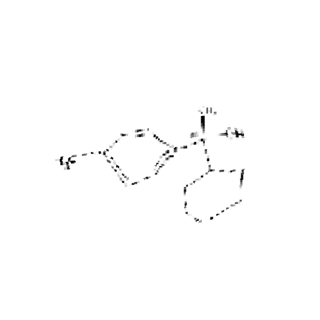 Cc1ccc([C@](C)(O)C2CCCCC2)cc1